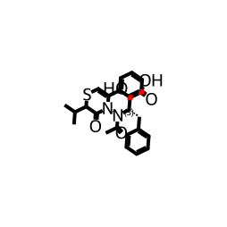 CC(=O)N([C@@H](Cc1ccccc1)C(O)C(=O)O)N1C(=O)C(C(C)C)SC=C1c1ccccc1